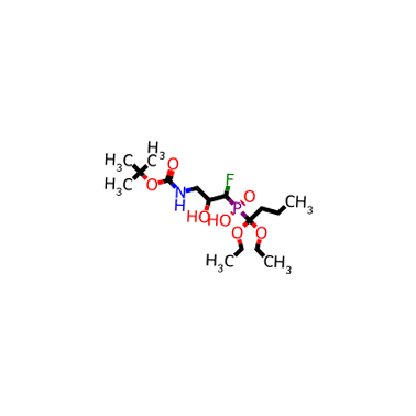 CCCC(OCC)(OCC)P(=O)(O)C(F)C(O)CNC(=O)OC(C)(C)C